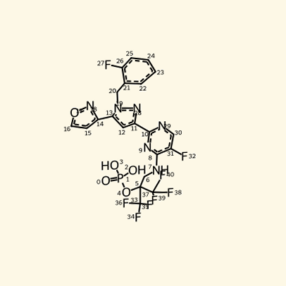 O=P(O)(O)OC(CNc1nc(-c2cc(-c3ccon3)n(Cc3ccccc3F)n2)ncc1F)(C(F)(F)F)C(F)(F)F